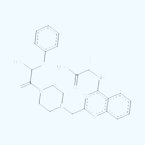 COC(=O)[C@@H](Nc1nc(CN2CCN(C(=O)C(C)Oc3ccccc3)CC2)nc2ccccc12)C(C)C